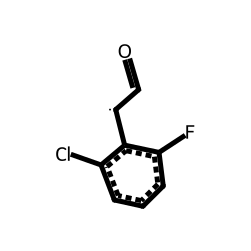 O=C[CH]c1c(F)cccc1Cl